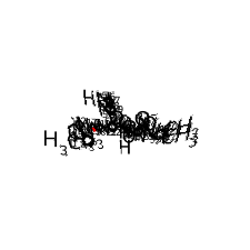 CC(C)c1ccccc1[C@H]1CCCN1C1CC2(C1)CN(c1ccc(C(=O)NS(=O)(=O)c3cnc(NCC4CCC(C)(C)CC4)c([N+](=O)[O-])c3)c(Oc3cnc4[nH]ccc4c3)c1)C2